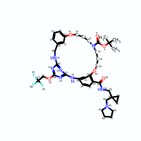 CC(C)(C)OC(=O)N1CCCOc2cccc(c2)CNc2nc(nc(OCC(F)(F)F)n2)Nc2ccc(C(=O)NCC3(CN4CCCC4)CC3)c(c2)OCCC1